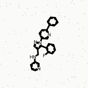 Fc1ccccc1-c1c(CNc2cccnc2)cnn1-c1ccc(-c2ccccc2)nc1